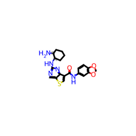 N[C@H]1CCCC[C@H]1Nc1ncc2scc(C(=O)Nc3ccc4c(c3)OCO4)c2n1